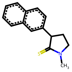 CN1CCC(c2ccc3ccccc3c2)C1=S